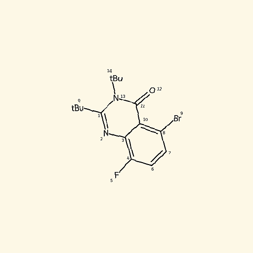 CC(C)(C)c1nc2c(F)ccc(Br)c2c(=O)n1C(C)(C)C